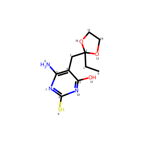 CCC1(Cc2c(N)nc(S)nc2O)OCCO1